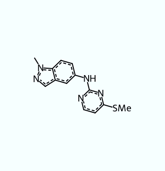 CSc1ccnc(Nc2ccc3c(cnn3C)c2)n1